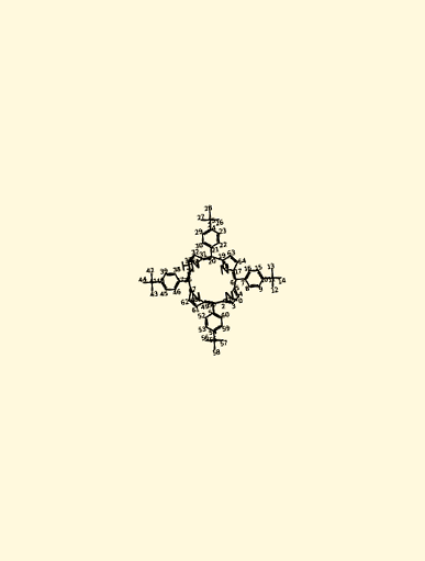 Cn1c2ccc1c(-c1ccc(C(C)(C)C)cc1)c1nc(c(-c3ccc(C(C)(C)C)cc3)c3ccc([nH]3)c(-c3ccc(C(C)(C)C)cc3)c3nc(c2-c2ccc(C(C)(C)C)cc2)C=C3)C=C1